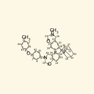 Cc1ccc(Oc2ccc(N3COc4ccc(C5(c6ccc7c(c6)CN(C)CO7)C6CC7CC(C6)CC5C7)cc4C3)cc2)cc1